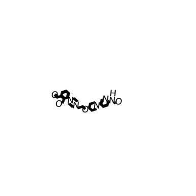 O=CNc1ccc(N2CCC(OCCN3CCN(c4cccc(C=O)c4C=O)CC3)CC2)cn1